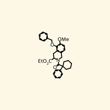 CCOC(=O)C1Cc2c(ccc(OC)c2OCc2ccccc2)CN1C(=O)C1(c2ccccc2)CCCCC1